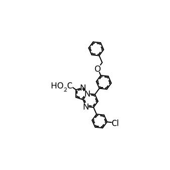 O=C(O)c1cc2nc(-c3cccc(Cl)c3)cc(-c3cccc(OCc4ccccc4)c3)n2n1